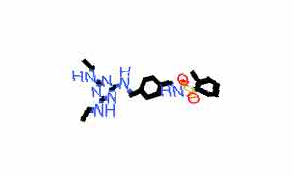 CCNc1nc(NCC)nc(NCC2CCC(CNS(=O)(=O)c3ccccc3C)CC2)n1